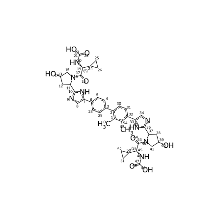 Cc1c(-c2ccc(-c3cnc(C4CC(O)CN4C(=O)[C@@H](NC(=O)O)C4CC4)[nH]3)cc2)ccc(-c2cnc(C3CC(O)CN3C(=O)[C@@H](NC(=O)O)C3CC3)[nH]2)c1C